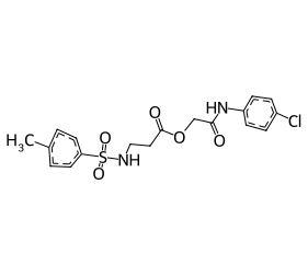 Cc1ccc(S(=O)(=O)NCCC(=O)OCC(=O)Nc2ccc(Cl)cc2)cc1